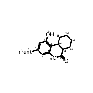 CCCCCc1cc(O)c2c(c1)OC(=O)C1CCCCC21